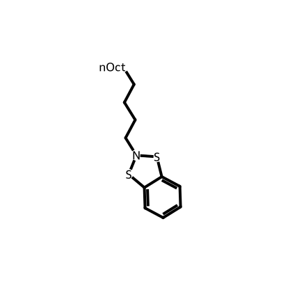 CCCCCCCCCCCCN1Sc2ccccc2S1